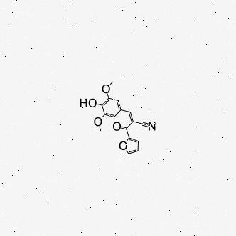 COc1cc(C=C(C#N)C(=O)c2ccco2)cc(OC)c1O